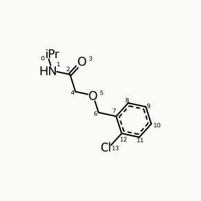 CC(C)NC(=O)COCc1ccccc1Cl